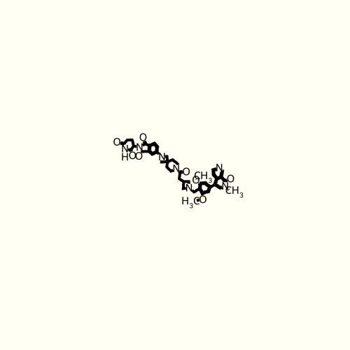 COc1cc(-c2cn(C)c(=O)c3cnccc23)cc(OC)c1CN1CC(CC(=O)N2CCC3(CC2)CN(c2ccc4c(c2)C(=O)N(C2CCC(=O)NC2=O)C4=O)C3)C1